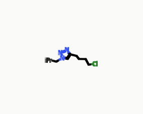 CC(C)Cn1cc(CCCCCl)nn1